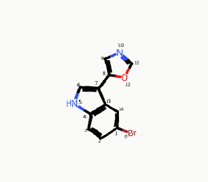 Brc1ccc2[nH]cc(-c3cnco3)c2c1